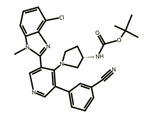 Cn1c(-c2cncc(-c3cccc(C#N)c3)c2N2CC[C@H](NC(=O)OC(C)(C)C)C2)nc2c(Cl)cccc21